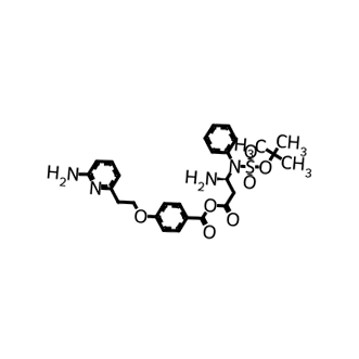 CC(C)(C)OS(=O)(=O)N(c1ccccc1)[C@H](N)CC(=O)OC(=O)c1ccc(OCCc2cccc(N)n2)cc1